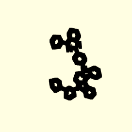 c1ccc(-c2cccc(-n3c4ccccc4c4c5c6ccccc6n(-c6ccc(-c7nc(-c8ccccc8)c8ccccc8n7)cc6)c5ccc43)c2)cc1